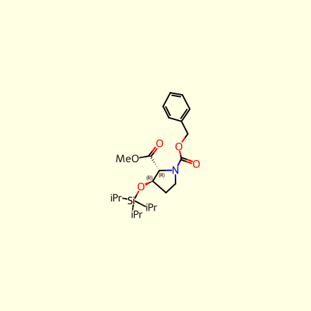 COC(=O)[C@H]1[C@H](O[Si](C(C)C)(C(C)C)C(C)C)CCN1C(=O)OCc1ccccc1